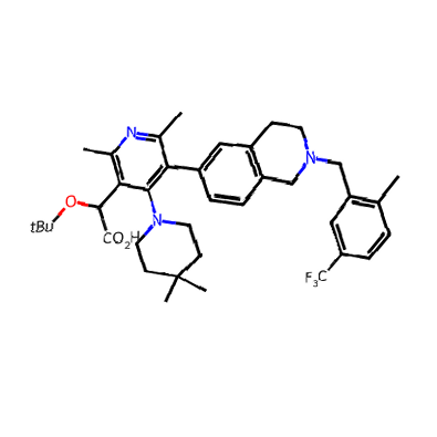 Cc1ccc(C(F)(F)F)cc1CN1CCc2cc(-c3c(C)nc(C)c(C(OC(C)(C)C)C(=O)O)c3N3CCC(C)(C)CC3)ccc2C1